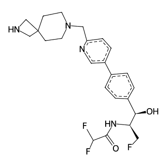 O=C(N[C@H](CF)[C@H](O)c1ccc(-c2ccc(CN3CCC4(CC3)CNC4)nc2)cc1)C(F)F